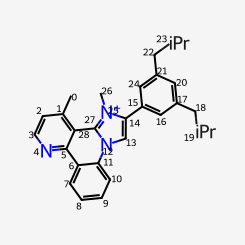 Cc1ccnc2c3ccccc3n3cc(-c4cc(CC(C)C)cc(CC(C)C)c4)[n+](C)c3c12